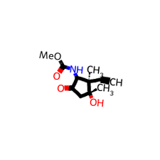 C#C[C@]1(C)C(NC(=O)OC)C(=O)C[C@@]1(C)O